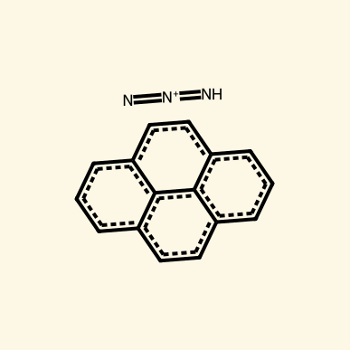 [N-]=[N+]=N.c1cc2ccc3cccc4ccc(c1)c2c34